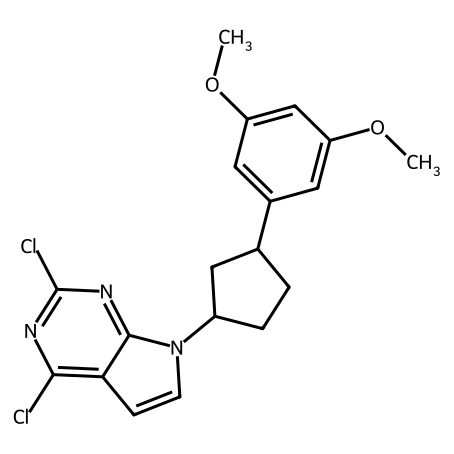 COc1cc(OC)cc(C2CCC(n3ccc4c(Cl)nc(Cl)nc43)C2)c1